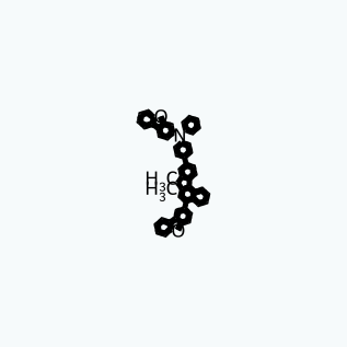 CC1(C)c2cc(-c3ccc(N(c4ccccc4)c4ccc5c(c4)oc4ccccc45)cc3)ccc2-c2c1cc(-c1ccc3oc4ccccc4c3c1)c1ccccc21